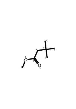 COC(=O)CC(C)(C)C